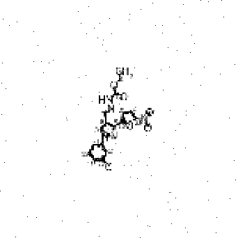 CCOC(=O)NN=Cc1cn(-c2cccc(Cl)c2)nc1-c1ccc([N+](=O)[O-])o1